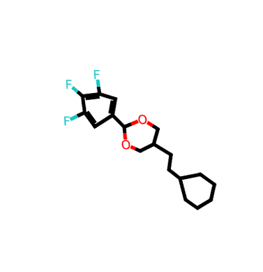 Fc1cc(C2OCC(CCC3CCCCC3)CO2)cc(F)c1F